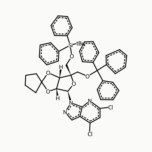 CC(C)(C)[Si](OC[C@@]1(COC(c2ccccc2)(c2ccccc2)c2ccccc2)O[C@@H](n2ncc3c(Cl)cc(Cl)nc32)[C@@H]2OC3(CCCC3)O[C@@H]21)(c1ccccc1)c1ccccc1